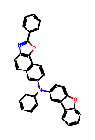 C1=CCC(N(c2ccc3c(ccc4nc(-c5ccccc5)oc43)c2)c2ccc3oc4ccccc4c3c2)C=C1